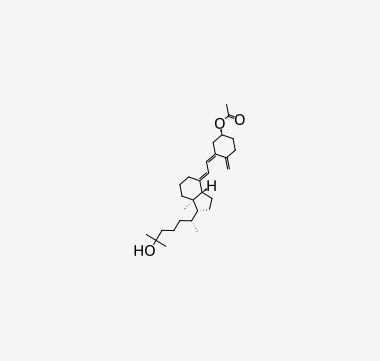 C=C1CC[C@H](OC(C)=O)C/C1=C/C=C1\CCC[C@]2(C)[C@@H]([C@H](C)CCCC(C)(C)O)CC[C@@H]12